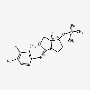 Cc1c(/N=C2\OC[C@@H]3[C@@H](O[Si](C)(C)C(C)(C)C)CCN23)ccc(C#N)c1Cl